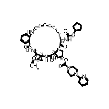 C=C[C@@H]1C[C@@]12NC(=O)[C@@H]1C[C@@H](OC(=O)N3CCN(c4ccccn4)CC3)CN1C(=O)[C@@H](NC(=O)OC1CCCC1)CCCCCCCNc1ccccc1S(=O)(=O)NC2=O